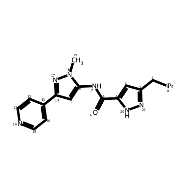 CC(C)Cc1cc(C(=O)Nc2cc(-c3ccncc3)nn2C)[nH]n1